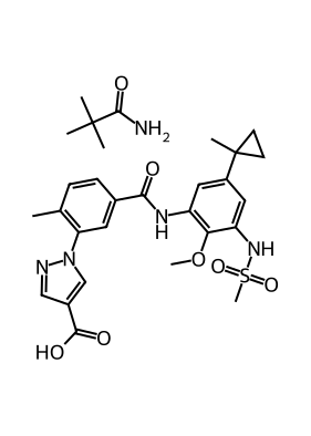 CC(C)(C)C(N)=O.COc1c(NC(=O)c2ccc(C)c(-n3cc(C(=O)O)cn3)c2)cc(C2(C)CC2)cc1NS(C)(=O)=O